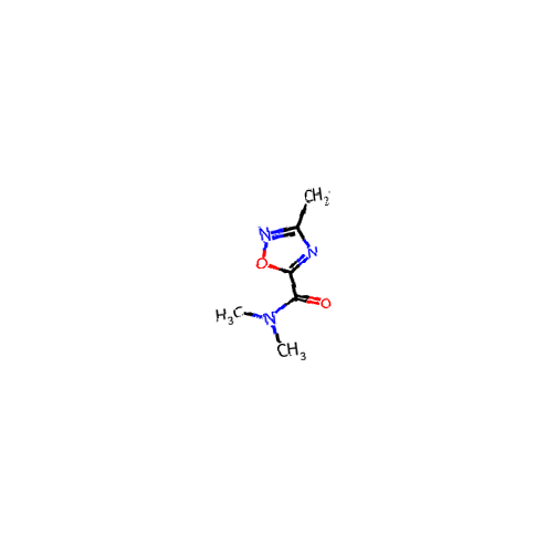 [CH2]c1noc(C(=O)N(C)C)n1